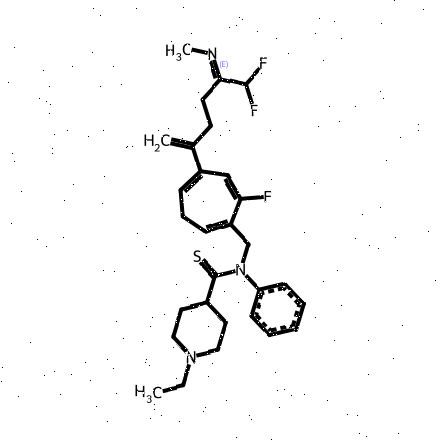 C=C(CC/C(=N\C)C(F)F)C1=CCC=C(CN(C(=S)C2CCN(CC)CC2)c2ccccc2)C(F)=C1